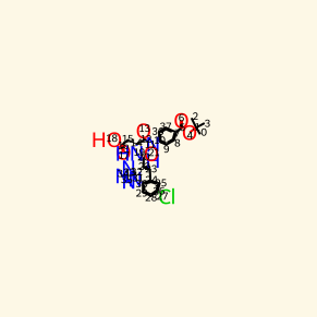 CC(C)(C)OC(=O)c1ccc(NC(=O)[C@H](CC(=O)O)NC(=O)/C=C/c2cc(Cl)ccc2-n2cnnn2)cc1